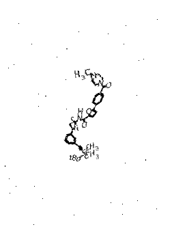 CN1CCN(C(=O)c2ccc(-c3ccc(C(=O)Nc4nc(-c5cccc(C#C[Si](C)(C)C(C)(C)C)c5)cs4)o3)cc2)CC1